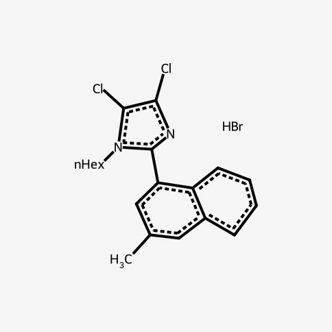 Br.CCCCCCn1c(-c2cc(C)cc3ccccc23)nc(Cl)c1Cl